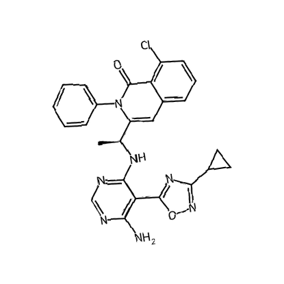 C[C@H](Nc1ncnc(N)c1-c1nc(C2CC2)no1)c1cc2cccc(Cl)c2c(=O)n1-c1ccccc1